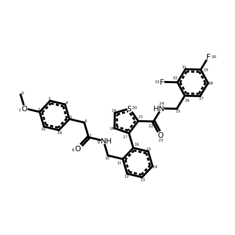 COc1ccc(CC(=O)NCc2ccccc2-c2ccsc2C(=O)NCc2ccc(F)cc2F)cc1